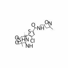 CC1=NOC(CNC(=O)c2cc(Cl)c([C@]3(C)CS(=O)(=O)C(C)(C)C(=N)N3)s2)C1